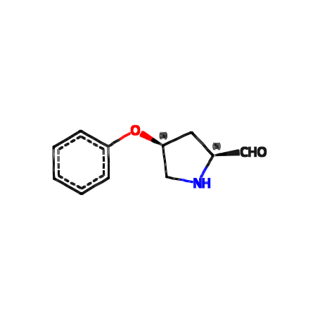 O=C[C@@H]1C[C@H](Oc2ccccc2)CN1